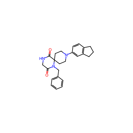 O=C1CNC(=O)C2(CCN(c3ccc4c(c3)CCC4)CC2)N1Cc1ccccc1